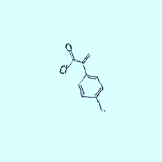 [CH2]c1ccc(C(=C)C(=O)Cl)cc1